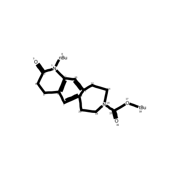 CCCCN1C(=O)CCc2cc3c(cc21)CCN(C(=O)OC(C)(C)C)CC3